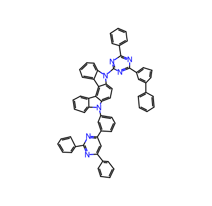 c1ccc(-c2cccc(-c3nc(-c4ccccc4)nc(-n4c5ccccc5c5c6c7ccccc7n(-c7cccc(-c8cc(-c9ccccc9)nc(-c9ccccc9)n8)c7)c6ccc54)n3)c2)cc1